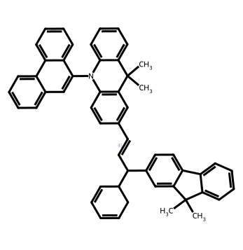 CC1(C)c2ccccc2-c2ccc(C(/C=C/c3ccc4c(c3)C(C)(C)c3ccccc3N4c3cc4ccccc4c4ccccc34)C3C=CC=CC3)cc21